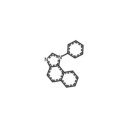 c1ccc(-n2cnc3ccc4ccccc4c32)cc1